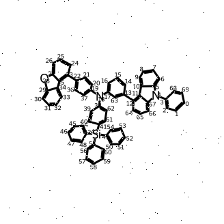 c1ccc(-n2c3ccccc3c3c(-c4cccc(N(c5ccc(-c6cccc7oc8ccccc8c67)cc5)c5ccc([Si](c6ccccc6)(c6ccccc6)c6ccccc6)cc5)c4)cccc32)cc1